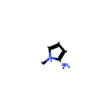 Cn1cccc1.N